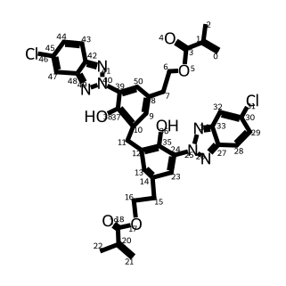 C=C(C)C(=O)OCCc1cc(Cc2cc(CCOC(=O)C(=C)C)cc(-n3nc4ccc(Cl)cc4n3)c2O)c(O)c(-n2nc3ccc(Cl)cc3n2)c1